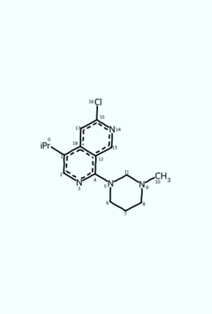 CC(C)c1cnc(N2CCCN(C)C2)c2cnc(Cl)cc12